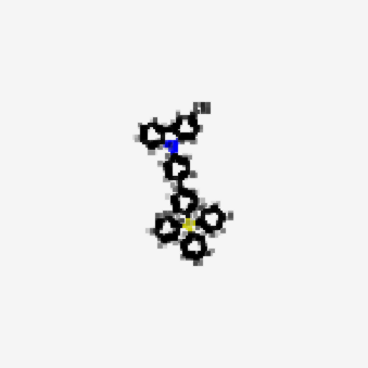 N#Cc1ccc2c(c1)c1ccccc1n2-c1ccc(-c2ccc(S(c3ccccc3)(c3ccccc3)c3ccccc3)cc2)cc1